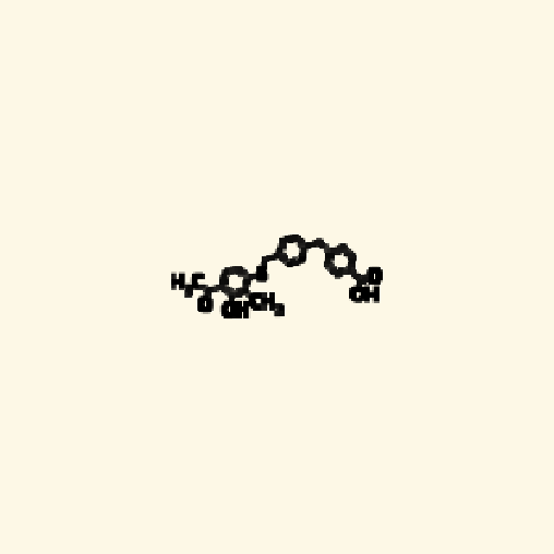 CC(=O)c1ccc(SCc2ccc(Cc3ccc(C(=O)O)cc3)cc2)c(C)c1O